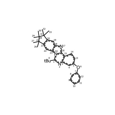 CC(C)(C)c1nc2cc(Oc3ccccc3)ccc2c2nc3cc4c(cc3n12)C(C)(C)C(C)(C)C4(C)C